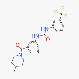 CC1CCN(C(=O)c2cccc(NC(=O)Nc3cccc(C(F)(F)F)c3)c2)CC1